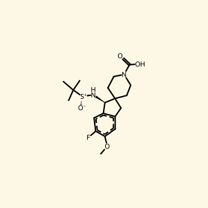 COc1cc2c(cc1F)[C@@H](N[S@+]([O-])C(C)(C)C)C1(CCN(C(=O)O)CC1)C2